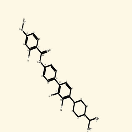 CCCC(O)C1CCC(c2ccc(-c3ccc(OC(=O)c4ccc(OCC)cc4F)cc3)c(F)c2F)CC1